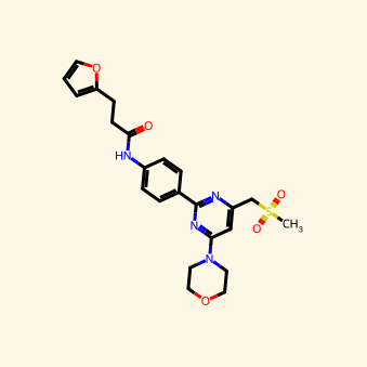 CS(=O)(=O)Cc1cc(N2CCOCC2)nc(-c2ccc(NC(=O)CCc3ccco3)cc2)n1